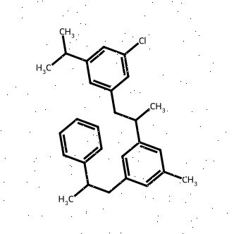 Cc1cc(CC(C)c2ccccc2)cc(C(C)Cc2cc(Cl)cc(C(C)C)c2)c1